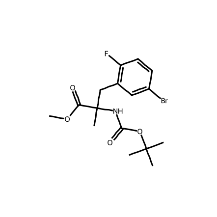 COC(=O)C(C)(Cc1cc(Br)ccc1F)NC(=O)OC(C)(C)C